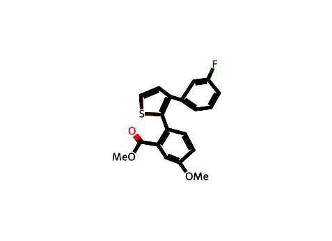 COC(=O)c1cc(OC)ccc1-c1sccc1-c1cccc(F)c1